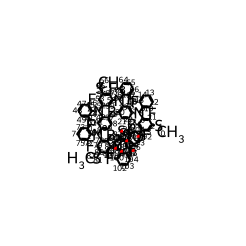 CSc1cc2c3c(c1)N(c1c(F)cccc1F)c1cc4c(cc1B3c1sc3cc(F)cc(F)c3c1O2)B1c2cc3c(cc2N(c2c(F)cccc2F)c2cc(SC)cc(c21)N4c1c(F)cccc1F)N(c1c(F)cccc1F)c1cc(SC)cc2c1B3c1sc3cc(F)cc(F)c3c1N2c1c(F)cccc1F